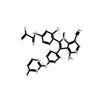 C=C(F)C(=O)Nc1ccc(-c2c(-c3ccc(Oc4nccc(C)n4)cc3)c3c(N)ncc(C#N)c3n2C)c(Cl)c1